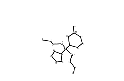 CCCO[Si](OCCC)(C1CCCC1)C1CCCC(C)C1